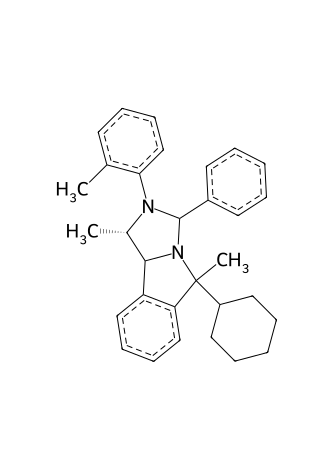 Cc1ccccc1N1C(c2ccccc2)N2C(c3ccccc3C2(C)C2CCCCC2)[C@@H]1C